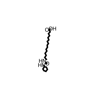 O=C(O)CCCCCCCCCCCCCCCNC(=O)NC1CCCCC1